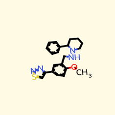 COc1ccc(-c2csnn2)cc1CNN1CCCCC1c1ccccc1